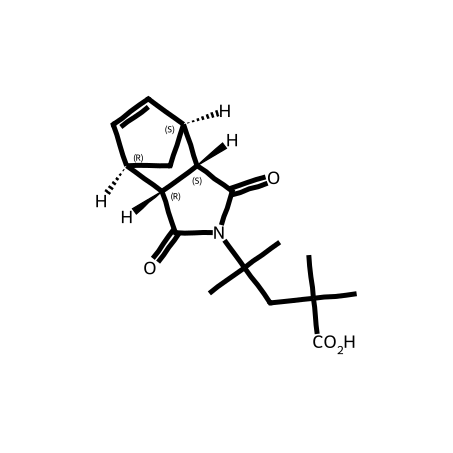 CC(C)(CC(C)(C)N1C(=O)[C@@H]2[C@H](C1=O)[C@H]1C=C[C@@H]2C1)C(=O)O